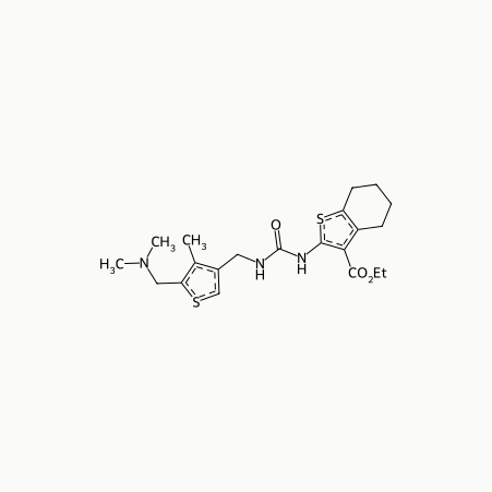 CCOC(=O)c1c(NC(=O)NCc2csc(CN(C)C)c2C)sc2c1CCCC2